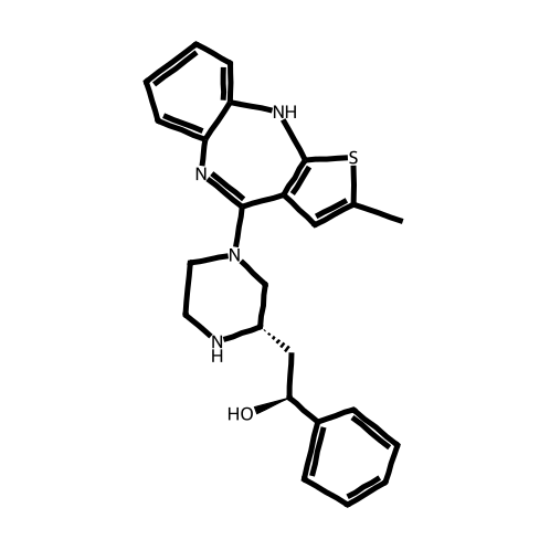 Cc1cc2c(s1)Nc1ccccc1N=C2N1CCN[C@@H](C[C@H](O)c2ccccc2)C1